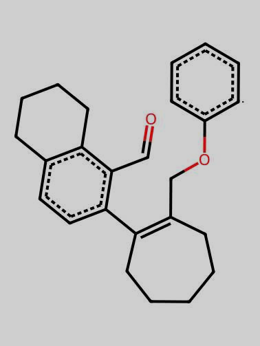 O=Cc1c(C2=C(COc3[c]cccc3)CCCCC2)ccc2c1CCCC2